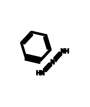 N=[N+]=N.c1ccccc#1